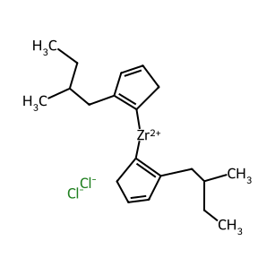 CCC(C)CC1=[C]([Zr+2][C]2=C(CC(C)CC)C=CC2)CC=C1.[Cl-].[Cl-]